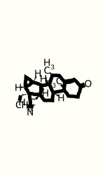 CC[C@]1(C#N)[C@H]2C[C@H]2[C@H]2[C@@H]3[C@H](C)CC4=CC(=O)CC[C@]4(C)[C@H]3CC[C@@]21C